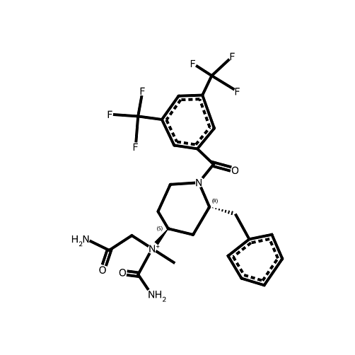 C[N+](CC(N)=O)(C(N)=O)[C@H]1CCN(C(=O)c2cc(C(F)(F)F)cc(C(F)(F)F)c2)[C@H](Cc2ccccc2)C1